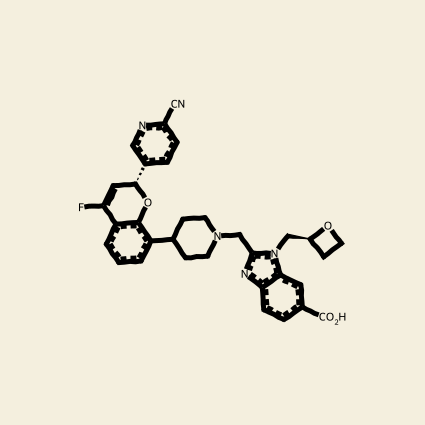 N#Cc1ccc([C@H]2C=C(F)c3cccc(C4CCN(Cc5nc6ccc(C(=O)O)cc6n5C[C@@H]5CCO5)CC4)c3O2)cn1